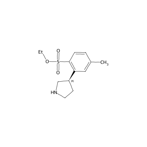 CCOS(=O)(=O)c1ccc(C)cc1[C@H]1CCNC1